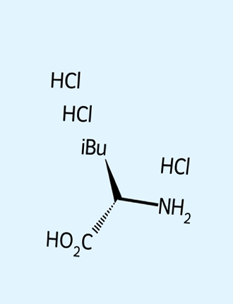 CC[C@H](C)[C@H](N)C(=O)O.Cl.Cl.Cl